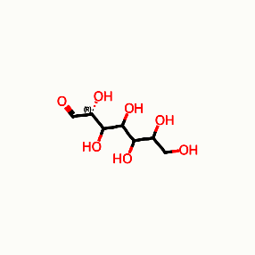 O=C[C@H](O)C(O)C(O)C(O)C(O)CO